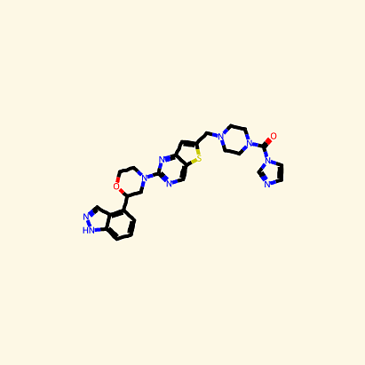 O=C(N1CCN(Cc2cc3nc(N4CCOC(c5cccc6[nH]ncc56)C4)ncc3s2)CC1)n1ccnc1